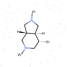 CC[C@@H]1CN(C(C)C)C[C@@H]2CN(C(C)C)C[C@@H]12